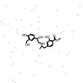 COC(=O)c1ccc(CC(C)NCC(O)c2ccc(O)c(CO)c2)cc1O